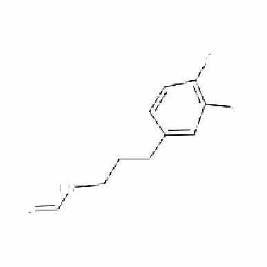 O=CNCCCc1ccc(Cl)c(Cl)c1